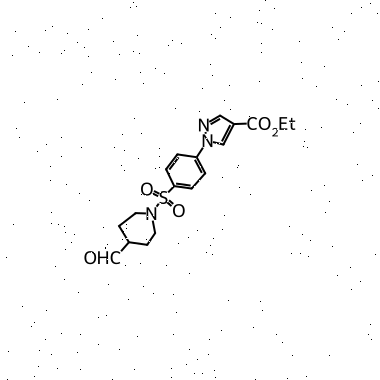 CCOC(=O)c1cnn(-c2ccc(S(=O)(=O)N3CCC(C=O)CC3)cc2)c1